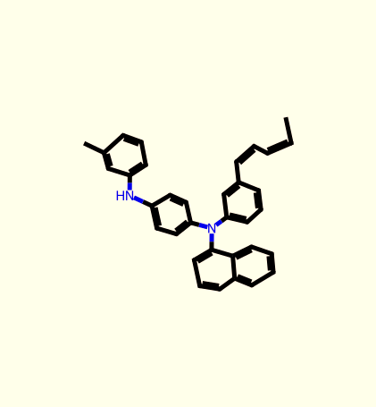 C/C=C\C=C/c1cccc(N(c2ccc(Nc3cccc(C)c3)cc2)c2cccc3ccccc23)c1